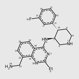 CCc1nc(N[C@@H]2CNCC[C@H]2c2cccc(F)c2)c2cccc(CN)c2n1